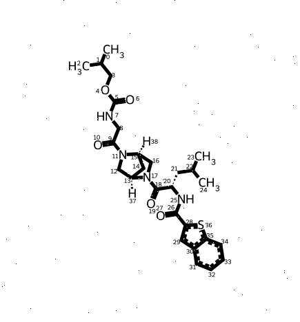 CC(C)COC(=O)NCC(=O)N1C[C@H]2C[C@@H]1CN2C(=O)[C@H](CC(C)C)NC(=O)c1cc2ccccc2s1